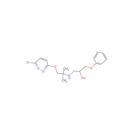 CC(C)(COc1ccc(Cl)nn1)NCC(O)COc1ccccc1